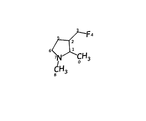 CC1C(CF)CCN1C